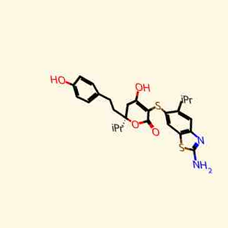 CC(C)c1cc2nc(N)sc2cc1SC1=C(O)C[C@@](CCc2ccc(O)cc2)(C(C)C)OC1=O